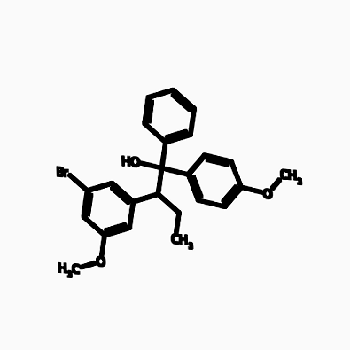 CCC(c1cc(Br)cc(OC)c1)C(O)(c1ccccc1)c1ccc(OC)cc1